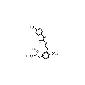 COc1ccc(CC(OC(C)C)C(=O)O)cc1CCOC(=O)Nc1ccc(C(F)(F)F)cc1